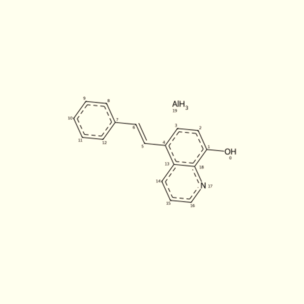 Oc1ccc(C=Cc2ccccc2)c2cccnc12.[AlH3]